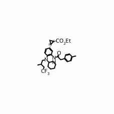 CCOC(=O)[C@H]1C[C@H]1c1ccc(N(CC(C)CC(F)(F)F)C2CCCCC2)c(NC(=O)Cc2ccc(C)cc2)c1